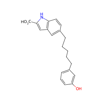 O=C(O)c1cc2cc(CCCCCc3cccc(O)c3)ccc2[nH]1